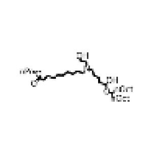 CCCCCCCCC(CCCCCCCC)OC(O)CCCCN(CCO)CCCCCCCCCC(=O)OCCC